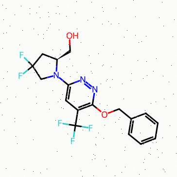 OC[C@@H]1CC(F)(F)CN1c1cc(C(F)(F)F)c(OCc2ccccc2)nn1